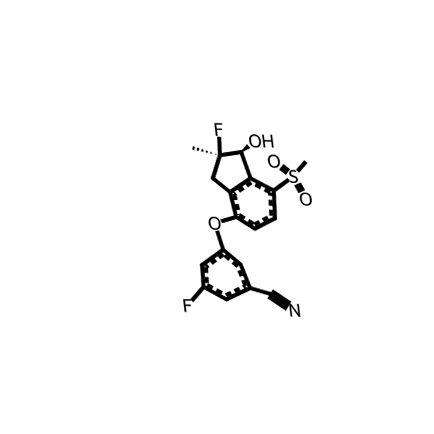 C[C@@]1(F)Cc2c(Oc3cc(F)cc(C#N)c3)ccc(S(C)(=O)=O)c2[C@@H]1O